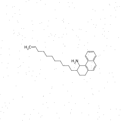 C=CCCCCCCCCCC1CCc2ccc3ccccc3c2C1N